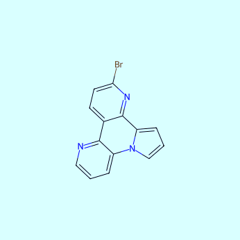 Brc1ccc2c3ncccc3n3cccc3c2n1